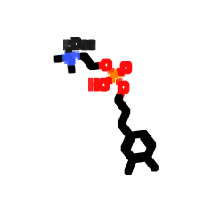 CCCCCCCCCC[N+](C)(C)CCOP(=O)(O)OCCCc1ccc(C)c(C)c1